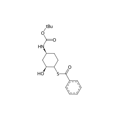 CC(C)(C)OC(=O)N[C@H]1CCC(SC(=O)c2ccccc2)[C@@H](O)C1